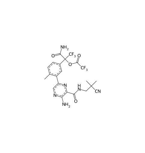 Cc1ccc(C(OC(=O)C(F)(F)F)(C(N)=O)C(F)(F)F)cc1-c1cnc(N)c(C(=O)NCC(C)(C)C#N)n1